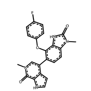 Cn1cc(-c2ccc3c([nH]c(=O)n3C)c2Oc2ccc(F)cc2)c2cc[nH]c2c1=O